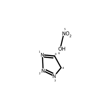 C1=NN=NC1.O=[N+]([O-])O